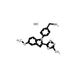 COc1ccc2c(c1)cc(-c1nnc(C)o1)n2-c1ccc(CN)cc1.Cl